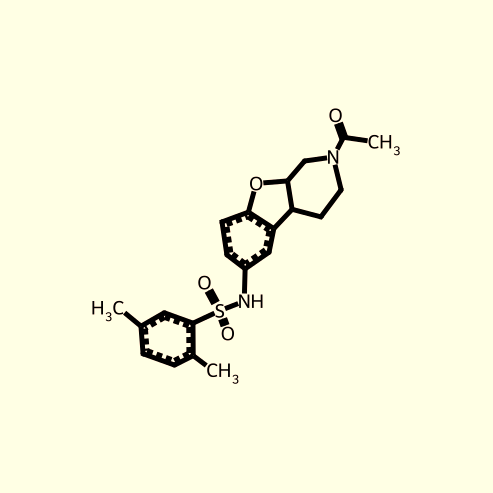 CC(=O)N1CCC2c3cc(NS(=O)(=O)c4cc(C)ccc4C)ccc3OC2C1